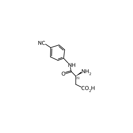 N#Cc1ccc(NC(=O)[C@@H](N)CC(=O)O)cc1